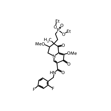 CCOP(=O)(CCC1(C)C(=O)c2c(OC)c(=O)c(C(=O)NCc3ccc(F)cc3F)cn2CC1OC)OCC